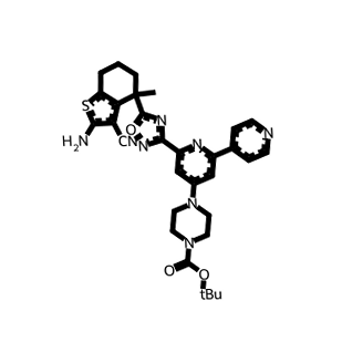 CC(C)(C)OC(=O)N1CCN(c2cc(-c3ccncc3)nc(-c3noc(C4(C)CCCc5sc(N)c(C#N)c54)n3)c2)CC1